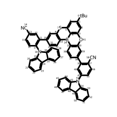 CC(C)(C)c1cc2c3c(c1)Sc1cc(-c4cc(C#N)ccc4-n4c5ccccc5c5ccccc54)ccc1B3c1ccc(-c3cc(-n4c5ccccc5c5ccccc54)ccc3C#N)cc1O2